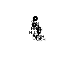 Cc1c(C(NC(=O)O)C2COCO2)cn2ncc(C#N)c(Nc3ccc(Oc4ccccc4)cc3)c12